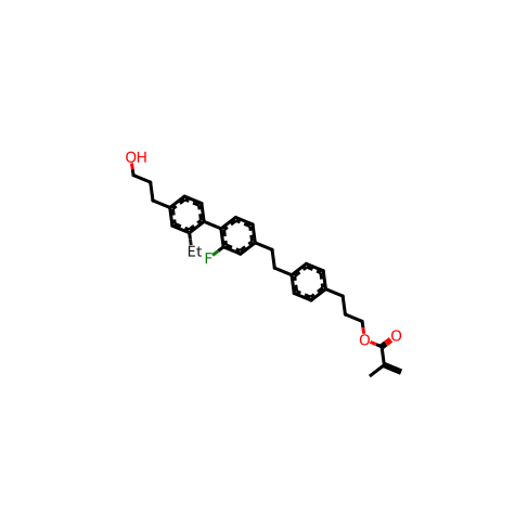 C=C(C)C(=O)OCCCc1ccc(CCc2ccc(-c3ccc(CCCO)cc3CC)c(F)c2)cc1